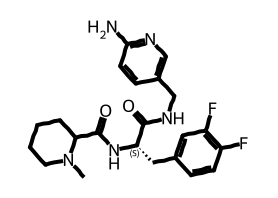 CN1CCCCC1C(=O)N[C@@H](Cc1ccc(F)c(F)c1)C(=O)NCc1ccc(N)nc1